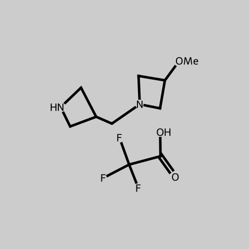 COC1CN(CC2CNC2)C1.O=C(O)C(F)(F)F